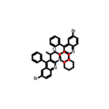 CC(C(=O)C(C)c1c(N2CCCCC2)nc2ccc(Br)cc2c1-c1ccccc1)c1c(N2CCCCC2)nc2ccc(Br)cc2c1-c1ccccc1